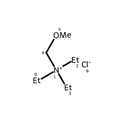 CC[N+](CC)(CC)COC.[Cl-]